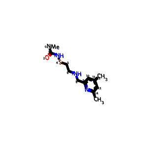 CNC(=O)NSCCNCc1cc(C)cc(C)n1